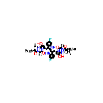 CC[C@H](NC(=O)[C@@H](C)NC)C(=O)N1C[C@@H](O)C[C@@H]1Cc1c(-c2[nH]c3cc(F)ccc3c2C[C@H]2C[C@H](O)CN2C(=O)[C@@H](CC)NC(=O)[C@@H](C)NC)[nH]c2cc(F)ccc12